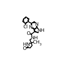 CC1(CNC(=O)c2c[nH]c3ncc(-c4ccccc4Cl)nc23)CCC(=O)N1